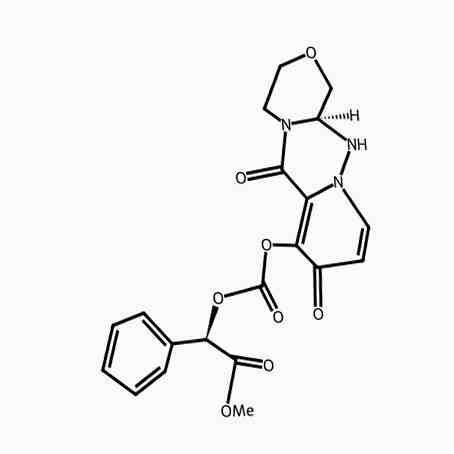 COC(=O)[C@H](OC(=O)Oc1c2n(ccc1=O)N[C@@H]1COCCN1C2=O)c1ccccc1